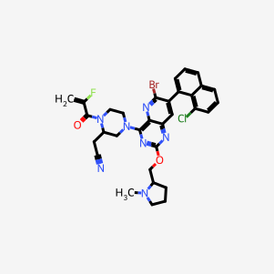 C=C(F)C(=O)N1CCN(c2nc(OCC3CCCN3C)nc3cc(-c4cccc5cccc(Cl)c45)c(Br)nc23)CC1CC#N